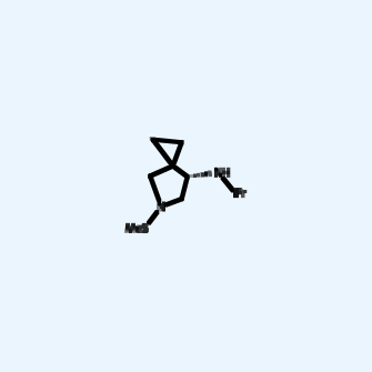 CSN1C[C@@H](NC(C)C)C2(CC2)C1